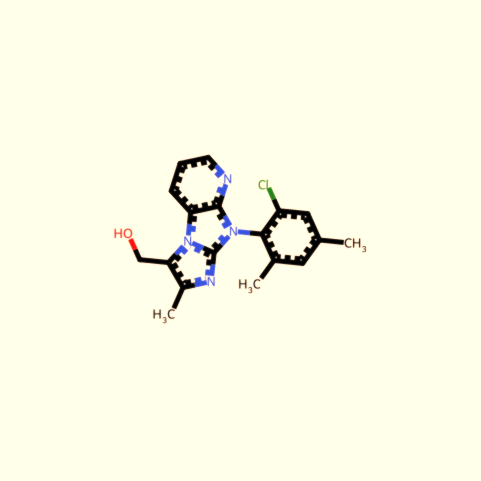 Cc1cc(C)c(-n2c3ncccc3n3c(CO)c(C)nc23)c(Cl)c1